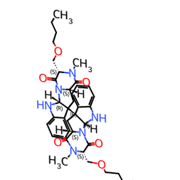 CCCCOC[C@H]1C(=O)N2[C@H]3Nc4ccccc4C3([C@]34C[C@H]5C(=O)N(C)[C@@H](COCCCC)C(=O)N5[C@H]3Nc3ccccc34)C[C@H]2C(=O)N1C